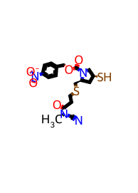 CN(C#N)C(=O)CCSC[C@@H]1C[C@H](S)CN1C(=O)OCc1ccc([N+](=O)[O-])cc1